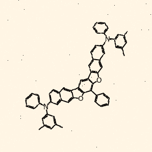 Cc1cc(C)cc(N(c2ccccc2)c2ccc3cc4c(cc3c2)oc2c(-c3ccccc3)c3oc5cc6cc(N(c7ccccc7)c7cc(C)cc(C)c7)ccc6cc5c3cc24)c1